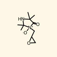 CC1(C)NC(C)(C)[N+]([O])(CC2CO2)C1=O